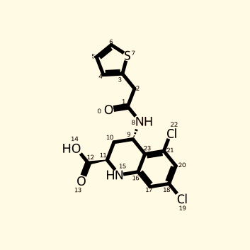 O=C(Cc1cccs1)N[C@H]1C[C@H](C(=O)O)Nc2cc(Cl)cc(Cl)c21